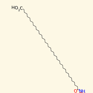 O=C(O)CCCCCCCCCCCCCCCCCCCCCCCCCCCCCCCCCCCCCC(=O)NO